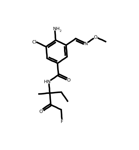 CCC(C)(NC(=O)c1cc(Cl)c(N)c(/C=N/OC)c1)C(=O)CF